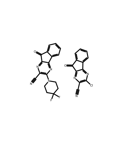 N#Cc1nc2c(nc1Cl)-c1ccccc1C2=O.N#Cc1nc2c(nc1N1CCC(F)(F)CC1)-c1ccccc1C2=O